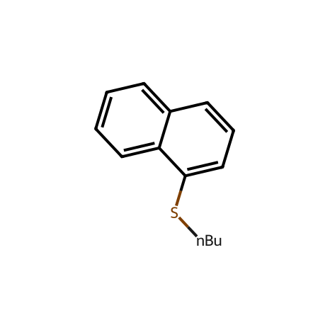 CCCCSc1cccc2ccccc12